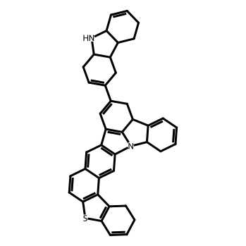 C1=CCC2C(=C1)C1CC(C3=CCC4NC5C=CCCC5C4C3)=Cc3c1n2c1cc2c(ccc4sc5c(c42)CCC=C5)cc31